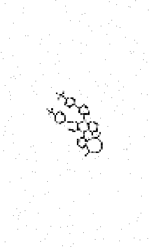 CC1CCCCC(C)N2c3cccc4c3B(c3ccc(-c5ccc(C(C)(C)C)cc5)cc3N4c3cccc(-c4ccc(C(C)(C)C)cc4)c3)c3cccc1c32